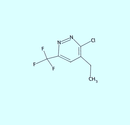 CCc1cc(C(F)(F)F)nnc1Cl